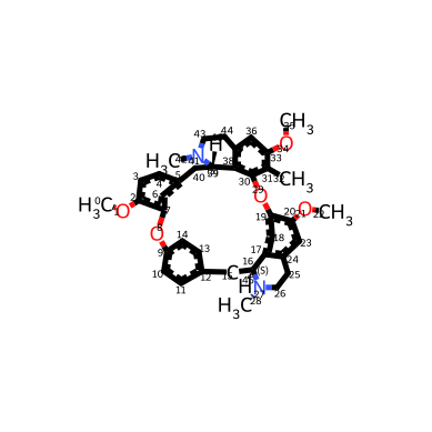 COc1ccc2cc1Oc1ccc(cc1)C[C@H]1c3cc(c(OC)cc3CCN1C)Oc1c(C)c(OC)cc3c1[C@H](C2)N(C)CC3